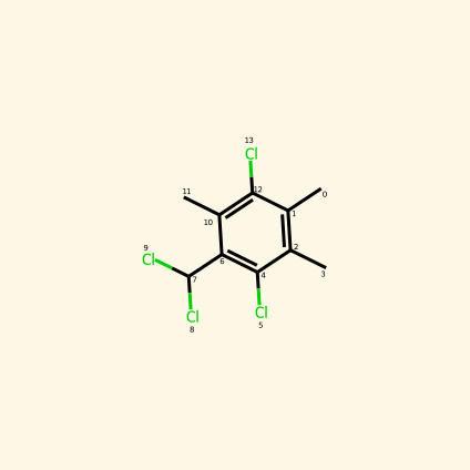 Cc1c(C)c(Cl)c(C(Cl)Cl)c(C)c1Cl